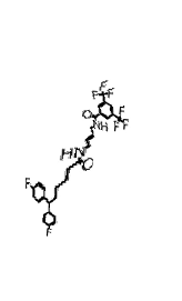 O=C(CCCCC(c1ccc(F)cc1)c1ccc(F)cc1)NCC=CCNC(=O)c1cc(C(F)(F)F)cc(C(F)(F)F)c1